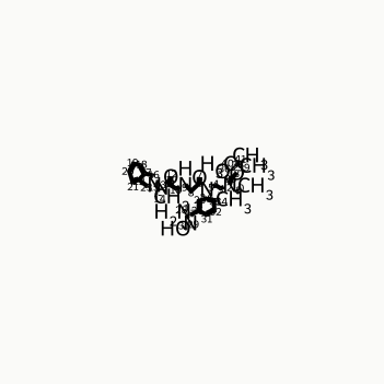 CCN(CCN(C(=O)CNCC(=O)N(C)N1Cc2ccccc2C1)c1cc(C(N)=NO)ccc1C)C(=O)OC(C)(C)C